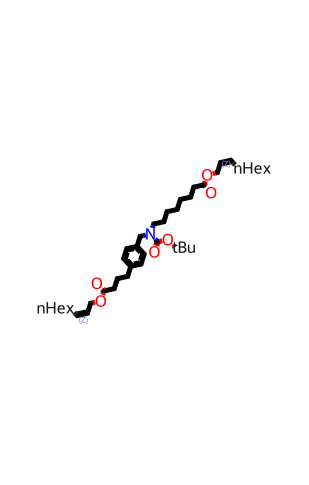 CCCCCC/C=C\COC(=O)CCCCCCCN(Cc1ccc(CCCC(=O)OC/C=C\CCCCCC)cc1)C(=O)OC(C)(C)C